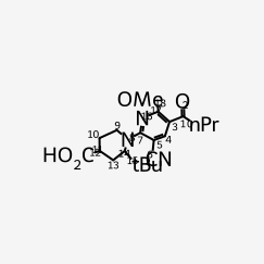 CCCC(=O)c1cc(C#N)c(N2CCC(C(=O)O)CC2C(C)(C)C)nc1OC